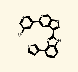 Nc1cncc(-c2cc3c(-c4nc5c(-c6ccoc6)cccc5[nH]4)n[nH]c3cn2)c1